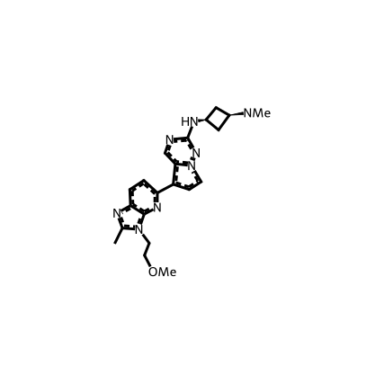 CN[C@H]1C[C@@H](Nc2ncc3c(-c4ccc5nc(C)n(CCOC)c5n4)ccn3n2)C1